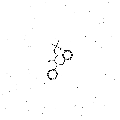 O=C(OOC(F)(F)F)C(=Cc1ccccc1)c1ccccc1